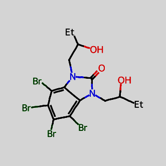 CCC(O)Cn1c(=O)n(CC(O)CC)c2c(Br)c(Br)c(Br)c(Br)c21